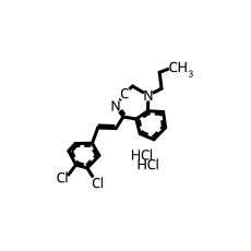 CCCN1CCN=C(/C=C/c2ccc(Cl)c(Cl)c2)c2ccccc21.Cl.Cl